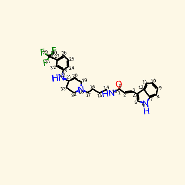 O=C(/C=C/c1c[nH]c2ccccc12)NCCCCN1CCC(Nc2cccc(C(F)(F)F)c2)CC1